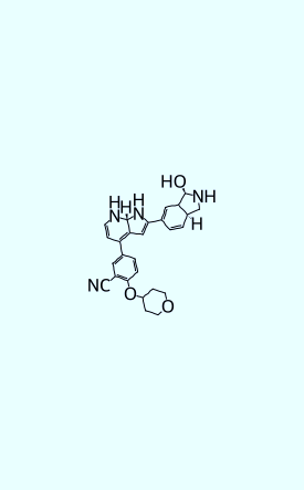 N#Cc1cc(C2=C3C=C(C4=CC5[C@H](C=C4)CN[C@@H]5O)N[C@H]3NC=C2)ccc1OC1CCOCC1